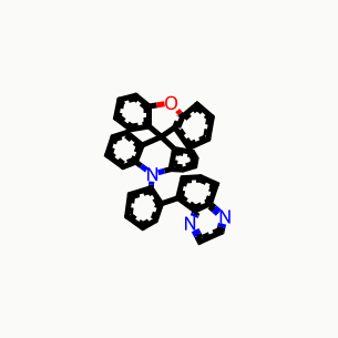 c1ccc2c(c1)Oc1ccccc1C21c2ccccc2N(c2ccccc2-c2cccc3nccnc23)c2ccccc21